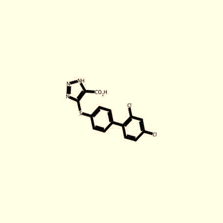 O=C(O)c1[nH]nnc1Sc1ccc(-c2ccc(Cl)cc2Cl)cc1